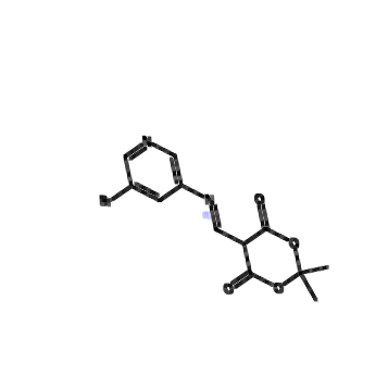 CC1(C)OC(=O)C(/C=N/c2cncc(Br)c2)C(=O)O1